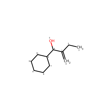 C=C(CC)C(O)C1CCCCC1